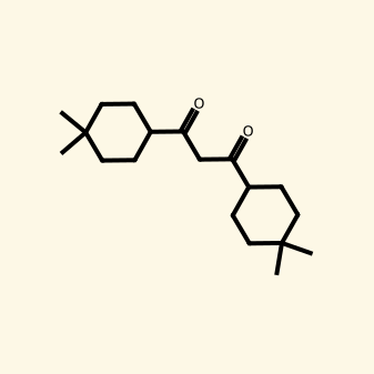 CC1(C)CCC(C(=O)CC(=O)C2CCC(C)(C)CC2)CC1